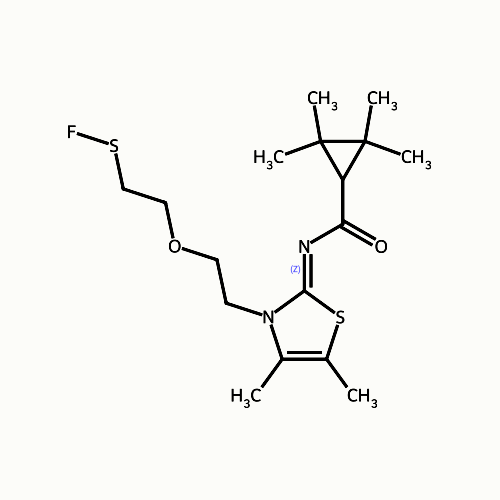 Cc1s/c(=N\C(=O)C2C(C)(C)C2(C)C)n(CCOCCSF)c1C